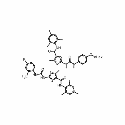 CCCCCCOc1ccc(NC(=O)Nc2nc(C)c(C(=O)Nc3c(C)cc(C)cc3C)s2)cc1.Cc1cc(C)c(NC(=O)c2sc(NC(=O)Nc3ccc(F)cc3C(F)(F)F)nc2C)c(C)c1